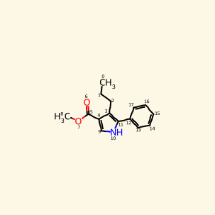 CCCc1c(C(=O)OC)c[nH]c1-c1ccccc1